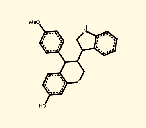 COc1ccc(C2c3ccc(O)cc3OCC2C2CNc3ccccc32)cc1